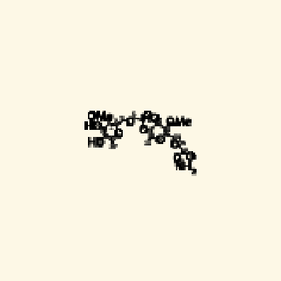 COC1C(COCC(=O)OC2C(C)OC(COCC(=O)ON)C(OC)C2O)OC(C)C(O)C1O